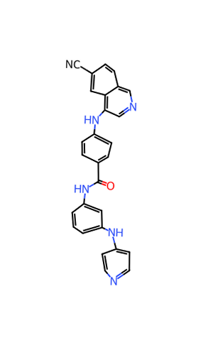 N#Cc1ccc2cncc(Nc3ccc(C(=O)Nc4cccc(Nc5ccncc5)c4)cc3)c2c1